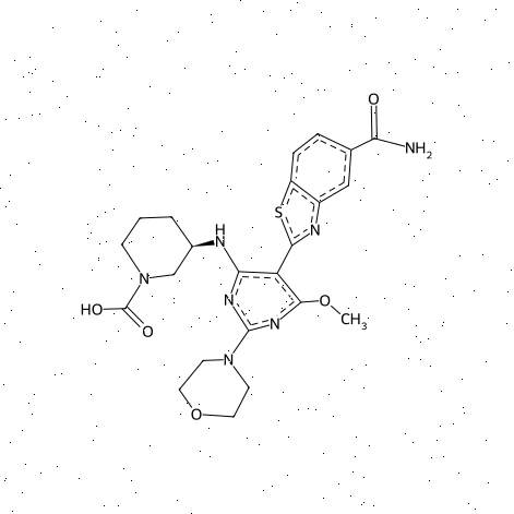 COc1nc(N2CCOCC2)nc(N[C@@H]2CCCN(C(=O)O)C2)c1-c1nc2cc(C(N)=O)ccc2s1